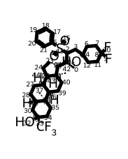 C[C@H](C(CC1(O)CCC(F)(F)CC1)S(=O)(=O)c1ccccc1)[C@H]1CC[C@H]2[C@@H]3CC[C@H]4C[C@](O)(C(F)(F)F)CC[C@]4(C)[C@H]3CC[C@]12C